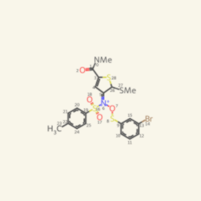 CNC(=O)C1=CC(=[N+](OSc2cccc(Br)c2)S(=O)(=O)c2ccc(C)cc2)C(SC)S1